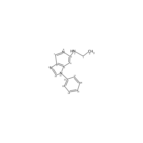 CCNc1cc2c(cn1)ncn2-c1ccccc1